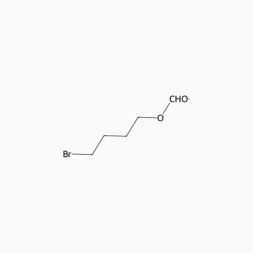 O=[C]OCCCCBr